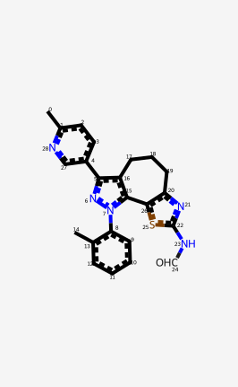 Cc1ccc(-c2nn(-c3ccccc3C)c3c2CCCc2nc(NC=O)sc2-3)cn1